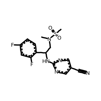 CN(CC(Nc1ncc(C#N)cn1)c1ccc(F)cc1F)S(C)(=O)=O